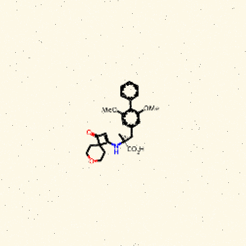 COc1cc(C[C@](C)(NC2=CC(=O)C23CCOCC3)C(=O)O)cc(OC)c1-c1ccccc1